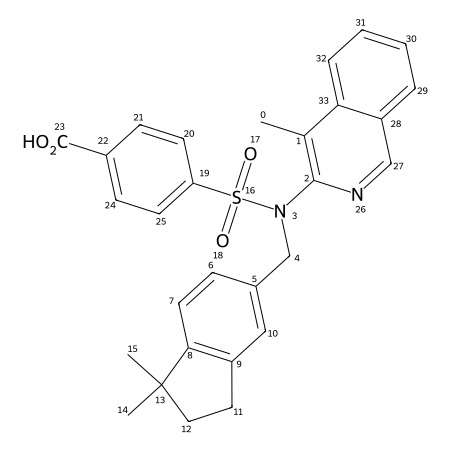 Cc1c(N(Cc2ccc3c(c2)CCC3(C)C)S(=O)(=O)c2ccc(C(=O)O)cc2)ncc2ccccc12